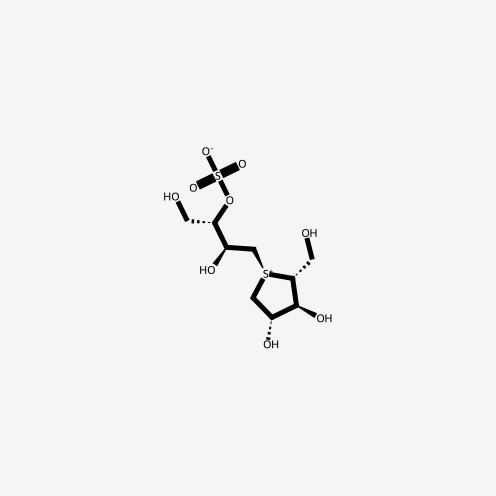 O=S(=O)([O-])O[C@@H](CO)[C@H](O)C[S@+]1C[C@@H](O)[C@H](O)[C@H]1CO